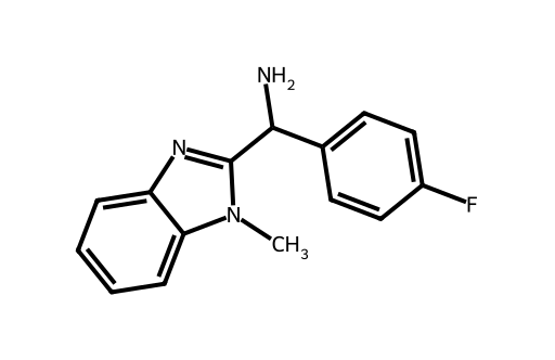 Cn1c(C(N)c2ccc(F)cc2)nc2ccccc21